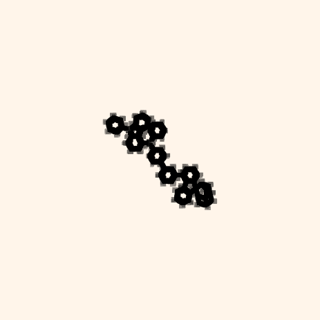 c1ccc(N(c2ccc(-c3cccc(-c4cccc5c4-c4ccccc4C54C5CC6CC(C5)CC4C6)c3)cc2)c2cccc3c2c2ccccc2n3-c2ccccc2)cc1